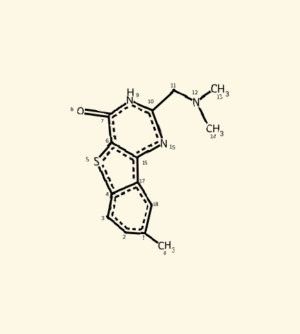 Cc1ccc2sc3c(=O)[nH]c(CN(C)C)nc3c2c1